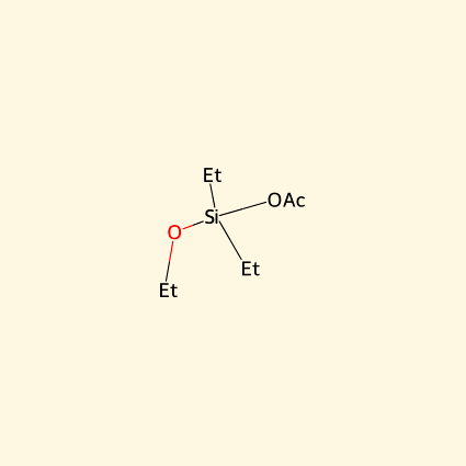 CCO[Si](CC)(CC)OC(C)=O